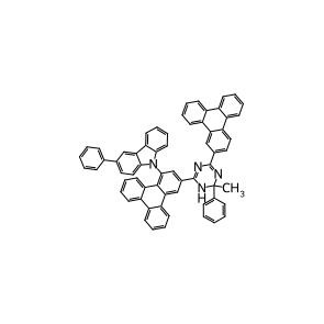 CC1(c2ccccc2)N=C(c2ccc3c4ccccc4c4ccccc4c3c2)N=C(c2cc(-n3c4ccccc4c4cc(-c5ccccc5)ccc43)c3c4ccccc4c4ccccc4c3c2)N1